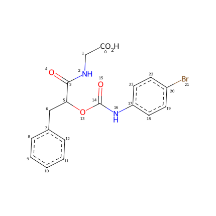 O=C(O)CNC(=O)C(Cc1ccccc1)OC(=O)Nc1ccc(Br)cc1